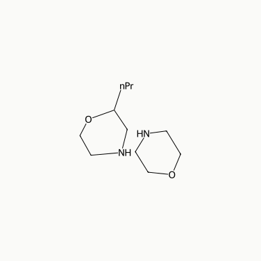 C1COCCN1.CCCC1CNCCO1